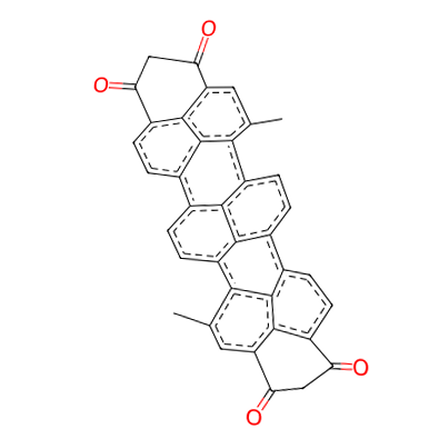 Cc1cc2c3c(ccc4c5ccc6c7c(C)cc8c9c(ccc(c%10ccc(c1c34)c5c%106)c97)C(=O)CC8=O)C(=O)CC2=O